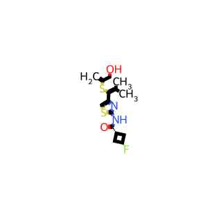 C=C(CO)SC(=C(C)C)c1csc(NC(=O)[C@H]2C[C@@H](F)C2)n1